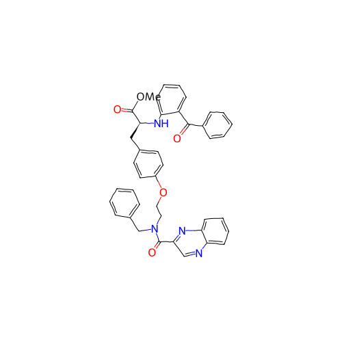 COC(=O)[C@H](Cc1ccc(OCCN(Cc2ccccc2)C(=O)c2cnc3ccccc3n2)cc1)Nc1ccccc1C(=O)c1ccccc1